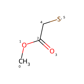 COC(=O)C[S]